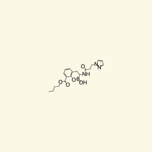 CCCCOC(=O)c1cccc2c1OB(O)C(NC(=O)CCn1cccn1)C2